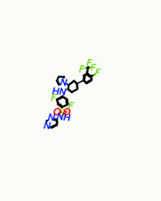 O=S(=O)(Nc1ccncn1)c1cc(F)c(N[C@H]2CC[C@H](c3ccc(F)c(C(F)(F)F)c3)C[C@@H]2N2CCCC2)cc1F